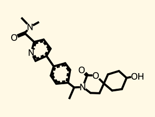 CC(c1ccc(-c2ccc(C(=O)N(C)C)nc2)cc1)N1CCC2(CCC(O)CC2)OC1=O